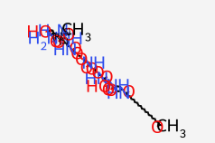 CC(=O)CCCCCCCCCCCCCCCCCCC(=O)NCC1CCC(C(=O)NC(CCC(=O)NCCOCCOCC(=O)NCCOCCOCC(=O)NCCCC[C@H](NCC(=O)[C@H](C)N)C(=O)C[C@@H](Cc2ccc(O)cc2)C(N)=O)C(=O)O)CC1